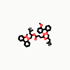 COc1ccccc1-c1ccccc1OCC([CH2][SnH]([CH3])[CH3])OC(=O)CCC(=O)OC(COc1ccccc1-c1ccccc1OC)[CH2][SnH]([CH3])[CH3]